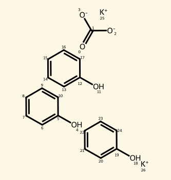 O=C([O-])[O-].Oc1ccccc1.Oc1ccccc1.Oc1ccccc1.[K+].[K+]